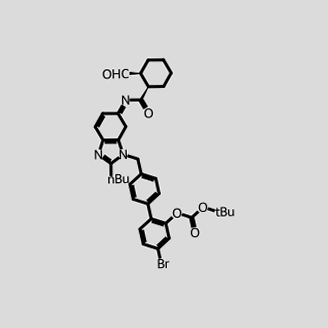 CCCCc1nc2c(n1Cc1ccc(-c3ccc(Br)cc3OC(=O)OC(C)(C)C)cc1)CC(=NC(=O)[C@@H]1CCCC[C@@H]1C=O)C=C2